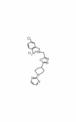 Nc1ccc(Cl)cc1CNCc1nnc(C2CCN(c3ncccn3)CC2)o1